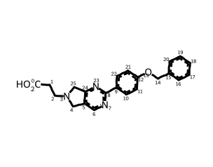 O=C(O)CCN1Cc2cnc(-c3ccc(OCc4ccccc4)cc3)nc2C1